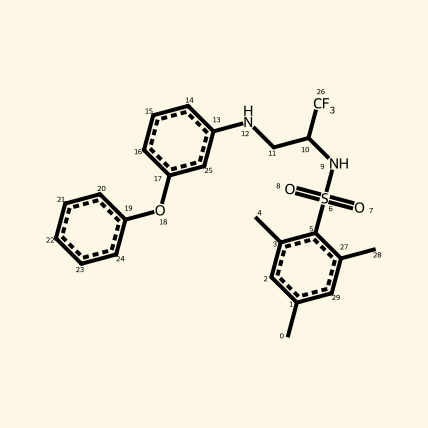 Cc1cc(C)c(S(=O)(=O)NC(CNc2cccc(Oc3ccccc3)c2)C(F)(F)F)c(C)c1